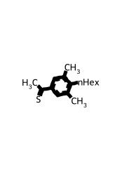 CCCCCCc1c(C)cc(C(C)=S)cc1C